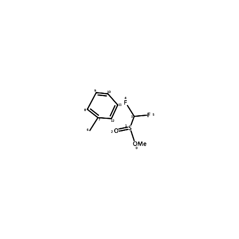 COS(=O)C(F)F.Cc1ccccc1